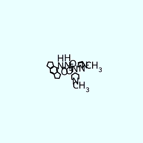 CN1CCC(N(c2ccn(C)n2)S(=O)(=O)NC(=O)Nc2c3c(cc4c2CCC4)CCC3)CC1